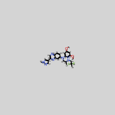 COc1cc(OC)cc(N(CC(C)NCC(C)(F)F)c2ccc3ncc(-c4cnn(C)c4)nc3c2)c1